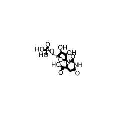 O=C1CC(C(=O)O)N([C@@H]2O[C@H](COP(=O)(O)O)[C@@H](O)[C@H]2O)C(=O)N1